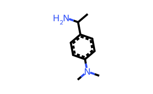 CC(N)c1ccc(N(C)C)cc1